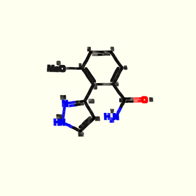 COc1cccc(C(N)=O)c1-c1cc[nH]n1